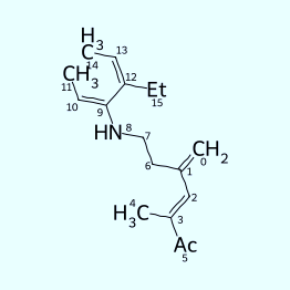 C=C(/C=C(\C)C(C)=O)CCNC(=C/C)/C(=C\C)CC